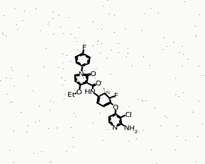 CCOc1ccn(-c2ccc(F)cc2)c(=O)c1C(=O)NC1=CC=C(Oc2ccnc(N)c2Cl)C(F)[C@H]1C